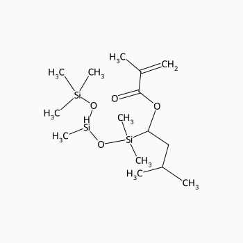 C=C(C)C(=O)OC(CC(C)C)[Si](C)(C)O[SiH](C)O[Si](C)(C)C